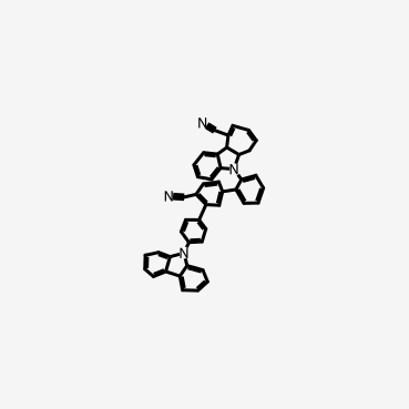 N#CC1=CC=CCC2C1c1ccccc1N2c1ccccc1-c1ccc(C#N)c(-c2ccc(-n3c4ccccc4c4ccccc43)cc2)c1